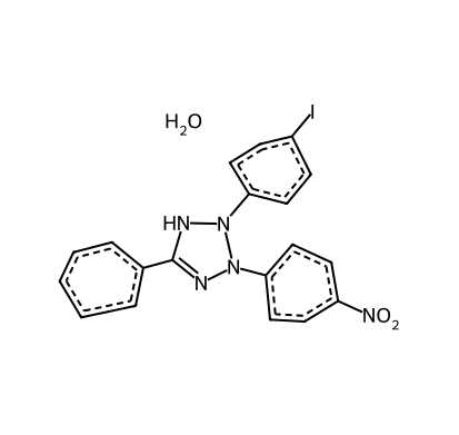 O.O=[N+]([O-])c1ccc(N2N=C(c3ccccc3)NN2c2ccc(I)cc2)cc1